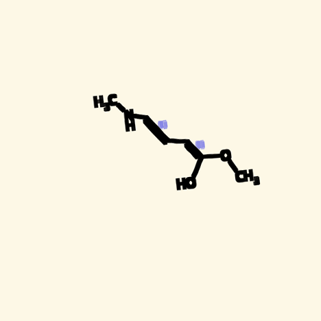 CN/C=C/C=C(\O)OC